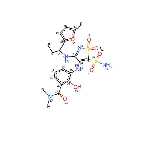 CCC(NC1=NS(=O)(=O)C(S(N)(=O)=O)=C1Nc1cccc(C(=O)N(C)C)c1O)c1ccc(C)o1